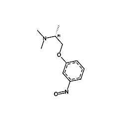 C[C@H](COc1cccc(N=O)c1)N(C)C